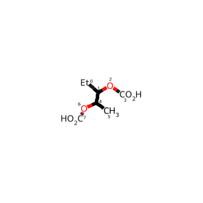 CCC(OC(=O)O)C(C)OC(=O)O